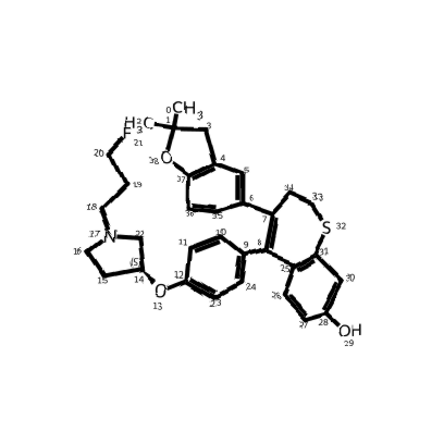 CC1(C)Cc2cc(C3=C(c4ccc(O[C@H]5CCN(CCCF)C5)cc4)c4ccc(O)cc4SCC3)ccc2O1